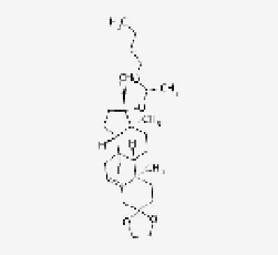 C#C[C@]1(OC(C)OCCCC)CC[C@H]2[C@@H]3CC=C4CC5(CC[C@]4(C)[C@H]3CC[C@@]21C)OCCO5